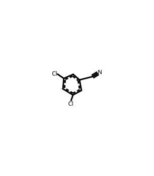 N#Cc1cc(Cl)[c]c(Cl)c1